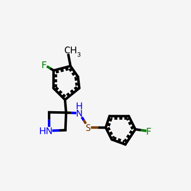 Cc1ccc(C2(NSc3ccc(F)cc3)CNC2)cc1F